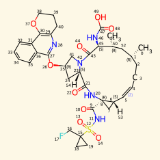 C[C@@H]1CC/C=C\[C@@H]2C[C@@]2(C(=O)NS(=O)(=O)C2(CF)CC2)NC(=O)[C@@H]2C[C@@H](Oc3nc4c(c5ccccc35)OCCC4)CN2C(=O)[C@@H](NC(=O)O)[C@H](C)C1